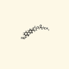 CCOC(=O)COC1CCN(c2ncc(-c3cccc(CO)c3F)cn2)CC1